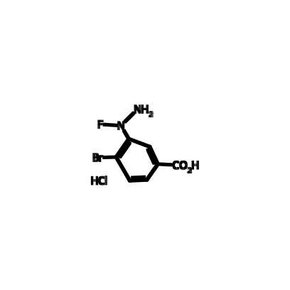 Cl.NN(F)c1cc(C(=O)O)ccc1Br